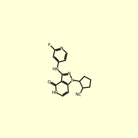 N#CC1CCCC1n1nc(Nc2ccnc(F)c2)c2c(=O)[nH]ccc21